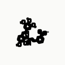 COc1ccc(C=Cc2cc(OC)c(OC)c(OC)c2)c(NC(=O)/C=C/c2cccc([N+](=O)[O-])c2)c1O